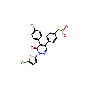 O=c1c(-c2ccc(Cl)cc2)c(-c2ccc(C[SH](=O)=O)cc2)cnn1-c1ccc(Cl)s1